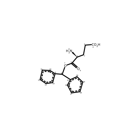 N[C@@H](CCC(=O)O)C(=O)OC(c1ccccc1)c1ccccc1